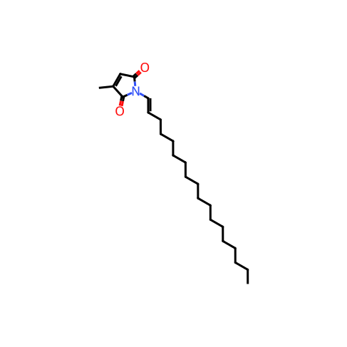 CCCCCCCCCCCCCCCCC=CN1C(=O)C=C(C)C1=O